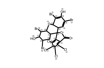 O=C1OC2(c3c(Cl)c(Cl)c(Cl)c(Cl)c31)C1C=C(Br)C(O)=C(Br)C1OC1C(Br)C(O)C(Br)CC12